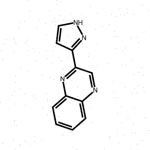 c1ccc2nc(-c3cc[nH]n3)cnc2c1